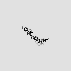 CCCON=C(C)C(Cc1ccc(OCCc2nc(-c3ccc(F)cc3)oc2C)cc1)C(=O)O